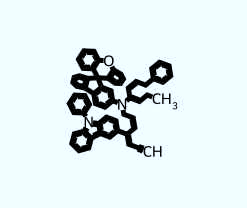 C#C/C=C(\C=C/CN(C(/C=C\Cc1ccccc1)=C/CC)c1ccc2c(c1)C1(c3ccccc3Oc3ccccc31)c1ccccc1-2)c1ccc2c(c1)c1ccccc1n2-c1ccccc1